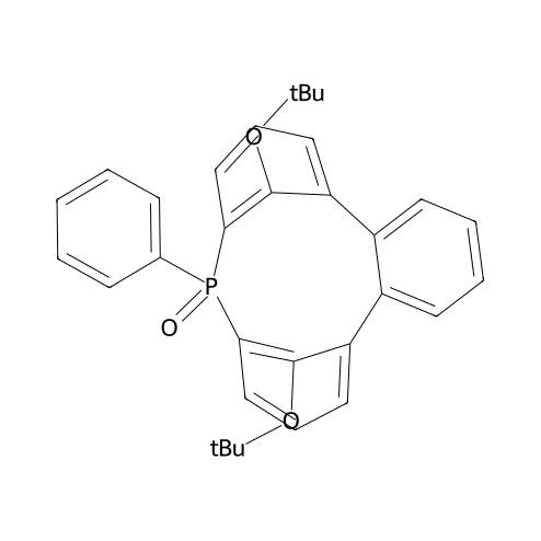 CC(C)(C)Oc1c2cccc1P(=O)(c1ccccc1)c1cccc(c1OC(C)(C)C)-c1ccccc1-2